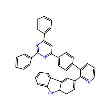 C1=C(c2ncccc2-c2ccc(-c3cc(-c4ccccc4)nc(-c4ccccc4)n3)cc2)C=C2c3ccccc3NC2C1